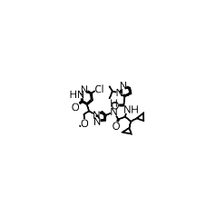 COCC(c1cc(Cl)n[nH]c1=O)n1cc(NC(=O)C(NC(=O)c2ccnn2C(C)C)C(C2CC2)C2CC2)cn1